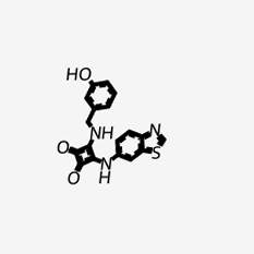 O=c1c(NCc2cccc(O)c2)c(Nc2ccc3ncsc3c2)c1=O